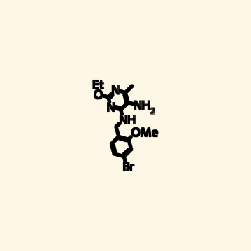 CCOc1nc(C)c(N)c(NCc2ccc(Br)cc2OC)n1